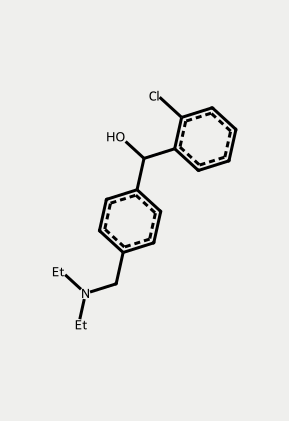 CCN(CC)Cc1ccc(C(O)c2ccccc2Cl)cc1